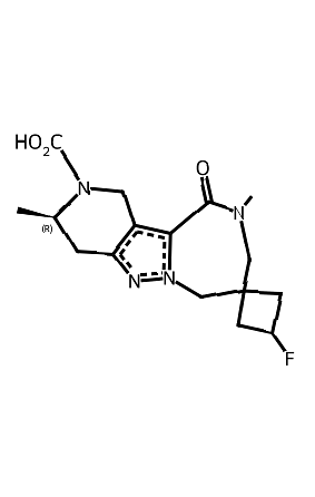 C[C@@H]1Cc2nn3c(c2CN1C(=O)O)C(=O)N(C)CC1(CC(F)C1)C3